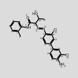 Cc1ccccc1NC(=O)C(N=Nc1ccc(-c2ccc(N)c(Cl)c2)cc1Cl)C(C)O